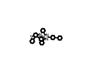 c1ccc(C2=NC(c3ccc(-c4ccccc4)cc3)=NC(c3ccccc3-n3c4ccccc4c4c5c(ccc43)sc3ccccc35)N2)cc1